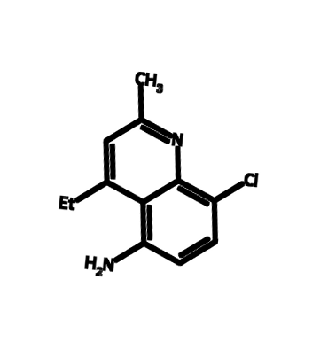 CCc1cc(C)nc2c(Cl)ccc(N)c12